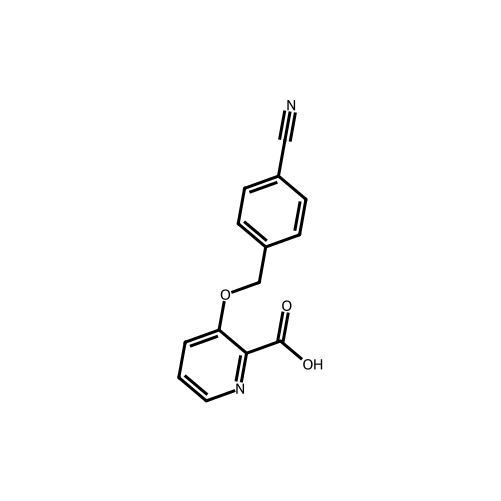 N#Cc1ccc(COc2cccnc2C(=O)O)cc1